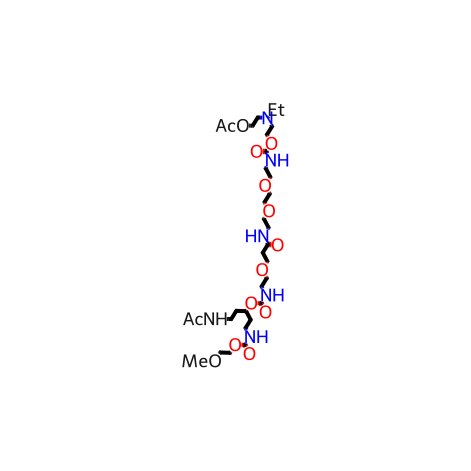 CCN(CCOC(C)=O)CCOC(=O)NCCOCCOCCNC(=O)CCOCCNC(=O)OC(CCNC(C)=O)CCNC(=O)OCCOC